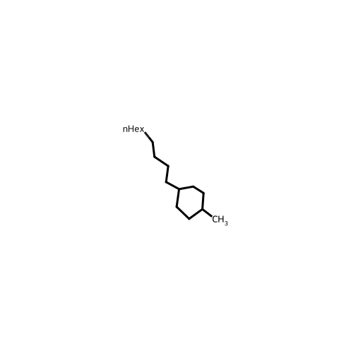 CCCCCCCCCCC1CCC(C)CC1